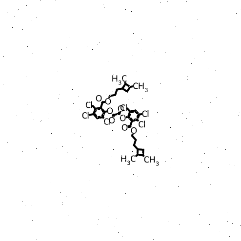 CC1CC(CCCOC(=O)c2c(Cl)c(Cl)cc(Cl)c2OC(=O)C(=O)Oc2c(Cl)cc(Cl)c(Cl)c2C(=O)OCCCC2CC(C)C2C)C1C